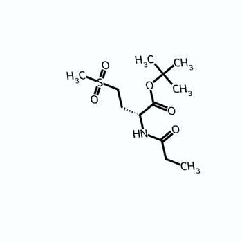 CCC(=O)N[C@H](CCS(C)(=O)=O)C(=O)OC(C)(C)C